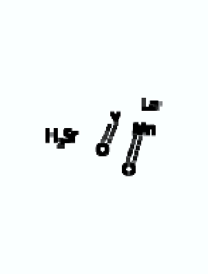 [La].[O]=[Mn].[O]=[Y].[SrH2]